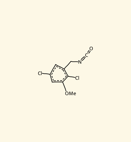 COc1cc(Cl)cc(CN=C=O)c1Cl